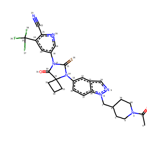 CC(=O)N1CCC(Cn2ncc3cc(N4C(=S)N(c5cnc(C#N)c(C(F)(F)F)c5)C(=O)C45CCC5)ccc32)CC1